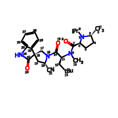 CC(C)N1[C@H](C(F)(F)F)CC[C@H]1C(=O)N(C)[C@@H](CC(C)(C)C)C(=O)N1C[C@]2(C[C@H]1C#N)C(=O)Nc1ccccc12